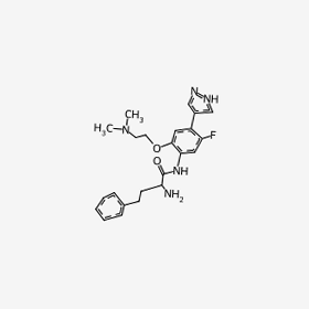 CN(C)CCOc1cc(-c2cn[nH]c2)c(F)cc1NC(=O)C(N)CCc1ccccc1